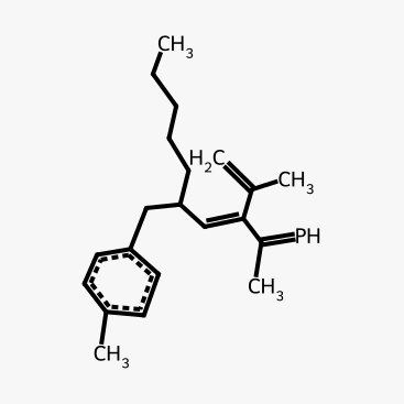 C=C(C)/C(=C\C(CCCCC)Cc1ccc(C)cc1)C(C)=P